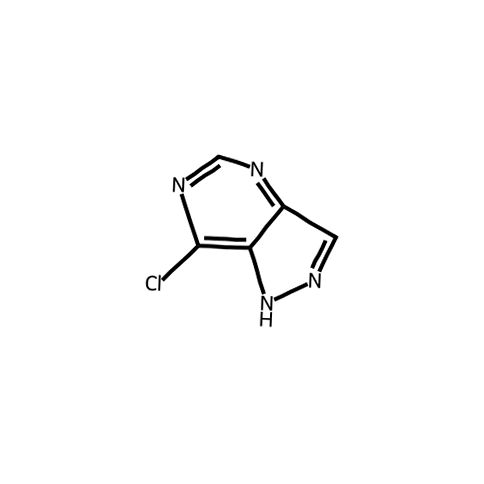 Clc1ncnc2cn[nH]c12